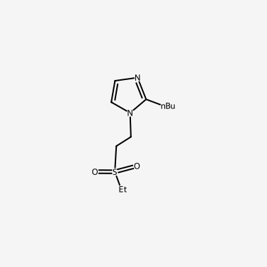 CCCCc1nccn1CCS(=O)(=O)CC